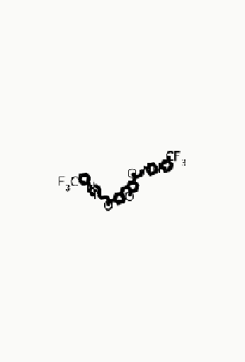 O=C(CCN1CCN(c2cccc(C(F)(F)F)c2)CC1)c1ccc2c(c1)Cc1cc(C(=O)CCN3CCN(c4cccc(C(F)(F)F)c4)CC3)ccc1O2